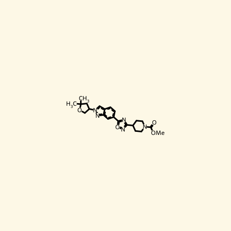 COC(=O)N1CCC(c2noc(-c3ccc4cn(C5COC(C)(C)C5)nc4c3)n2)CC1